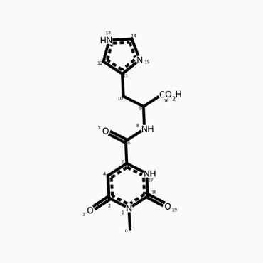 Cn1c(=O)cc(C(=O)NC(Cc2c[nH]cn2)C(=O)O)[nH]c1=O